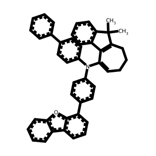 CC1(C)C2=C(C(N(c3ccc(-c4ccccc4)cc3)c3ccc(-c4cccc5c4oc4ccccc45)cc3)=CCCC2)c2ccccc21